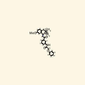 COc1ccc2c(c1)/C(=C/C(=O)c1cccc(NC(=O)COc3ccccc3)c1)NC(C)(C)C2